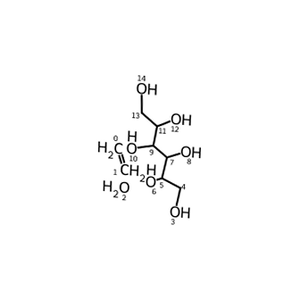 C=C.O.OCC(O)C(O)C(O)C(O)CO